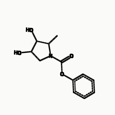 CC1C(O)C(O)CN1C(=O)Oc1ccccc1